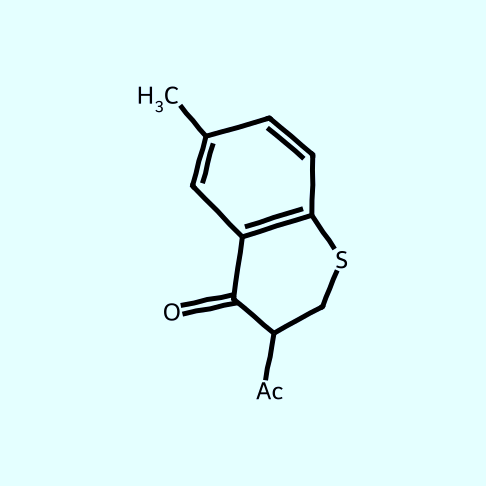 CC(=O)C1CSc2ccc(C)cc2C1=O